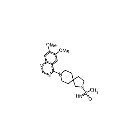 COc1cc2ncnc(N3CCC4(CC3)CCN(S(C)(=N)=O)C4)c2cc1OC